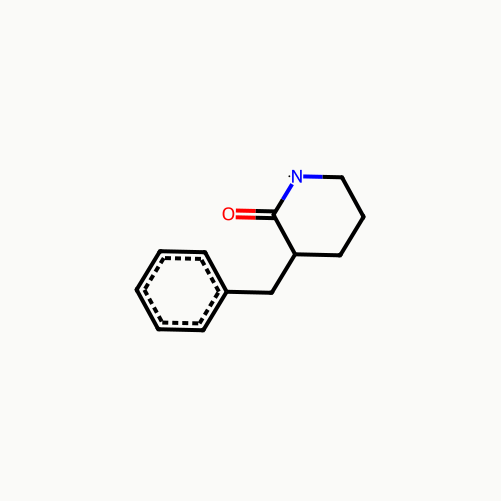 O=C1[N]CCCC1Cc1ccccc1